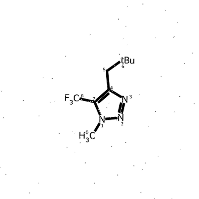 Cn1nnc(CC(C)(C)C)c1C(F)(F)F